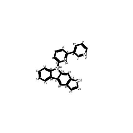 c1cncc(-c2cccc(-n3c4ccccc4c4cc5ccsc5cc43)n2)c1